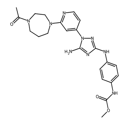 COC(=O)Nc1ccc(Nc2nc(N)n(-c3ccnc(N4CCCN(C(C)=O)CC4)c3)n2)cc1